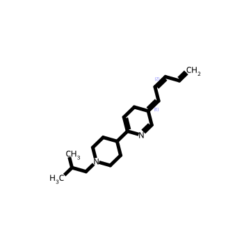 C=C/C=C\C=C1\C=NC(C2CCN(CC(C)C)CC2)=CC1